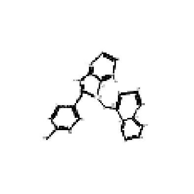 Cc1ccc(-c2nc3nccnc3n2Cc2cccc3ccccc23)cc1